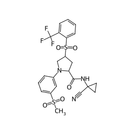 CS(=O)(=O)c1cccc(N2CC(S(=O)(=O)c3ccccc3C(F)(F)F)CC2C(=O)NC2(C#N)CC2)c1